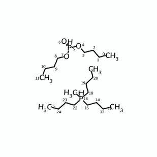 CCCCO[PH](=O)OCCCC.CCCC[PH](C)(CCCC)CCCC